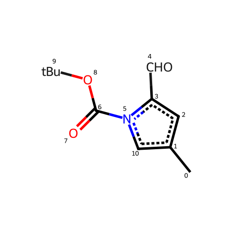 Cc1cc(C=O)n(C(=O)OC(C)(C)C)c1